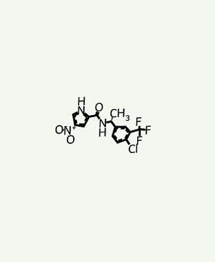 C[C@@H](NC(=O)c1cc([N+](=O)[O-])c[nH]1)c1ccc(Cl)c(C(F)(F)F)c1